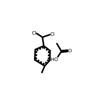 CC(=O)O.Cc1ccc(C(Cl)Cl)cc1